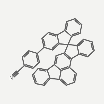 N#Cc1ccc(-c2ccc3c(c2)C2(c4ccccc4-3)c3ccccc3-c3c2cc2c4c(cccc34)-c3ccccc3-2)cc1